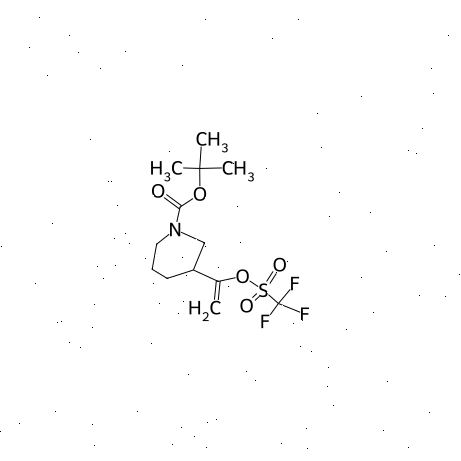 C=C(OS(=O)(=O)C(F)(F)F)C1CCCN(C(=O)OC(C)(C)C)C1